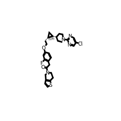 O=C(Cc1ccc(OCC[C@@H]2C[C@@H]2C2CCN(c3ncc(Cl)cn3)CC2)cc1F)N1CCc2sccc2C1